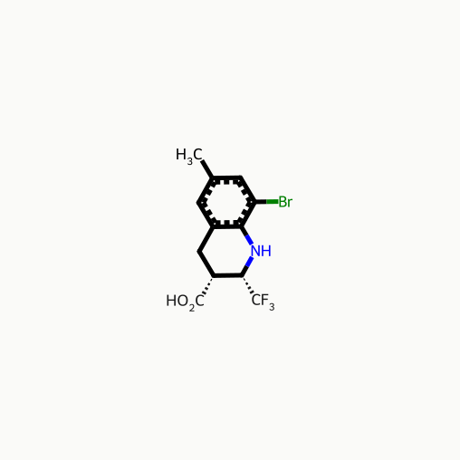 Cc1cc(Br)c2c(c1)C[C@@H](C(=O)O)[C@@H](C(F)(F)F)N2